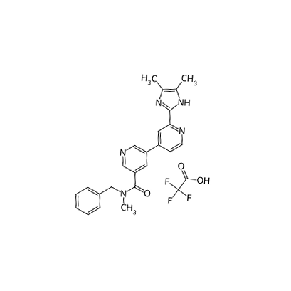 Cc1nc(-c2cc(-c3cncc(C(=O)N(C)Cc4ccccc4)c3)ccn2)[nH]c1C.O=C(O)C(F)(F)F